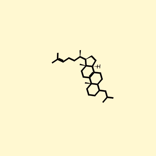 CC(C)=CCC[C@@H](C)[C@H]1CC[C@H]2C3=C(CC[C@]12C)[C@@]1(C)CCCC(CC(C)C)C1CC3